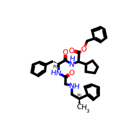 C[C@@H](CNCC(=O)N[C@H](Cc1ccccc1)C(=O)NC(C(=O)OCc1ccccc1)C1CCCC1)c1ccccc1